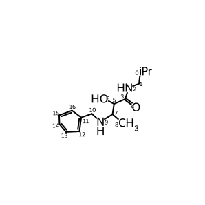 CC(C)CNC(=O)C(O)C(C)NCc1ccccc1